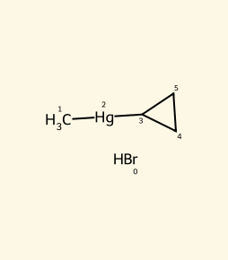 Br.[CH3][Hg][CH]1CC1